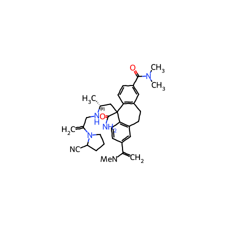 C=C(NC)c1ccc2c(c1)CCc1cc(C(=O)N(C)C)ccc1C2(C[C@@H](C)NCC(=C)N1CCCC1C#N)C(N)=O